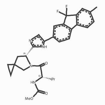 COC(=O)N[C@H](C(=O)N1CC2(CC2)C[C@@H]1c1ncc(-c2ccc3c(c2)C(F)(F)c2cc(C)ccc2-3)[nH]1)C(C)C